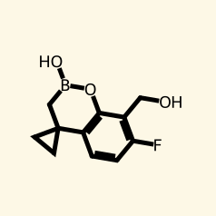 OCc1c(F)ccc2c1OB(O)CC21CC1